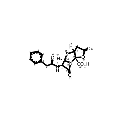 O=C(Cc1ccccc1)N[C@@H]1C(=O)N2[C@@H]1S[C@@H]1CC(=O)O[C@@]12C(=O)O